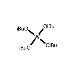 CC(C)C[O][W]([O]CC(C)C)([O]CC(C)C)[O]CC(C)C